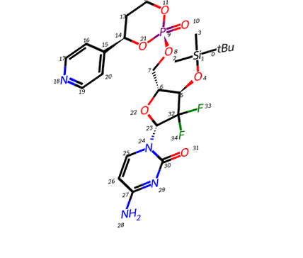 CC(C)(C)[Si](C)(C)O[C@@H]1[C@@H](CO[P@]2(=O)OCC[C@H](c3ccncc3)O2)O[C@@H](n2ccc(N)nc2=O)C1(F)F